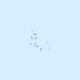 CCN(CC)C(=O)c1nc(C(=O)N2C[C@H](O)C[C@H](O)C2)sc1-c1ccc(C(C)(C)O)c(Cl)c1Cl